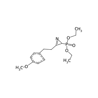 CCOP(=O)(OCC)C1N=C1CCc1ccc(OC)cc1